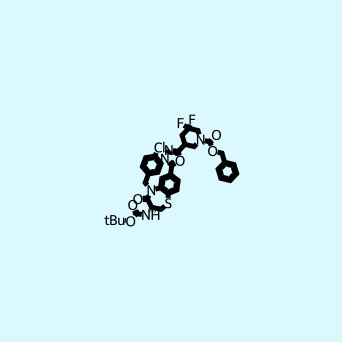 CC(C)(C)OC(=O)N[C@H]1CSc2ccc(-c3nnc(C4CN(C(=O)OCc5ccccc5)CC(F)(F)C4)o3)cc2N(Cc2ccc(Cl)cc2)C1=O